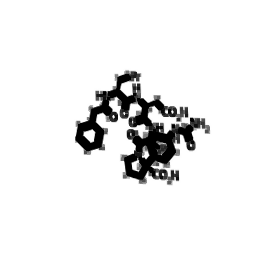 CC(C)C[C@H](NC(=O)Cc1ccccc1)C(=O)N[C@@H](CC(=O)O)C(=O)N[C@H](C(=O)N1CCC[C@@]1(C(=O)O)c1ccc(NC(N)=O)cc1)C(C)C